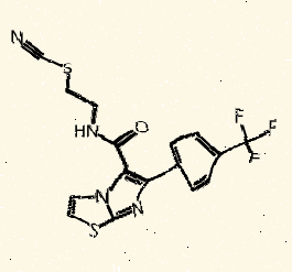 N#CSCCNC(=O)c1c(-c2ccc(C(F)(F)F)cc2)nc2sccn12